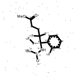 COC(=O)CCC(F)(F)[C@](CF)(N[S+]([O-])C(C)(C)C)c1ccccc1F